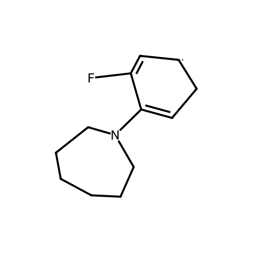 FC1=C[CH]CC=C1N1CCCCCC1